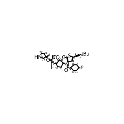 CC(C)(C)C#Cc1cc(N(C(=O)[C@H]2CC[C@H](C)CC2)C2CCC(NC(=O)OC3(C)CCNC3)CC2)c(C(=O)O)s1